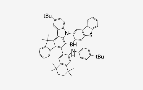 CC(C)(C)c1ccc(Nc2cc3c(cc2-c2c4c(c5c6cc(C(C)(C)C)ccc6n6c5c2Bc2cc5sc7ccccc7c5cc2-6)C(C)(C)c2ccccc2-4)C(C)(C)CCC3(C)C)cc1